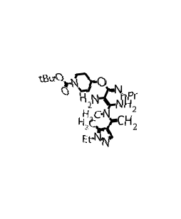 C=C(c1cnn(CC)c1C)N(C)/C(N)=C(N)/C(=N\CCC)OC1CCN(C(=O)OC(C)(C)C)CC1